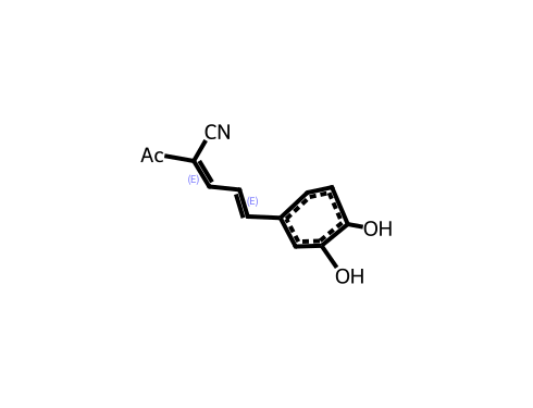 CC(=O)/C(C#N)=C/C=C/c1ccc(O)c(O)c1